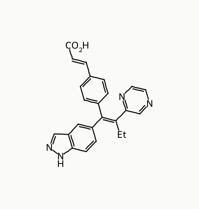 CC/C(=C(/c1ccc(/C=C/C(=O)O)cc1)c1ccc2[nH]ncc2c1)c1cnccn1